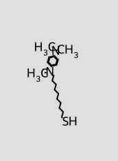 CN(C)c1ccc(N(C)CCCCCCCCCCS)cc1